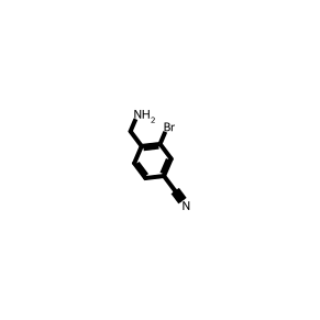 N#Cc1ccc(CN)c(Br)c1